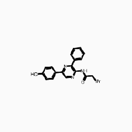 CC(C)CC(=O)Nc1ncc(-c2ccc(O)cc2)nc1-c1ccccc1